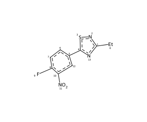 CCc1nsc(-c2ccc(F)c([N+](=O)[O-])c2)n1